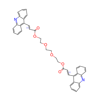 O=C(/C=C/c1c2ccccc2nc2ccccc12)OCCOCCOCCOC(=O)/C=C/c1c2ccccc2nc2ccccc12